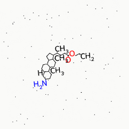 C=CCOC(=O)CC[C@@H](C)C1CCC2C3CC[C@@H]4C[C@H](N)CC[C@]4(C)C3CC[C@@]21C